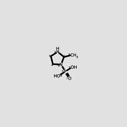 CC1NCCN1P(=O)(O)O